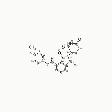 CCc1ccc(CNc2cccc3c2C(=O)N([C@@H]2CCC(=O)NC2=O)C3=O)cc1